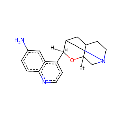 CCC12CN3CCC1CC3[C@H](c1ccnc3ccc(N)cc13)O2